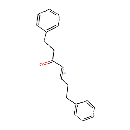 O=C(/C=C/CCc1ccccc1)CCc1ccccc1